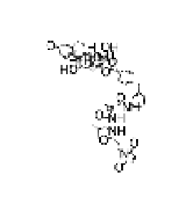 CC(C)C(NC(=O)CCN1C(=O)C=CC1=O)C(=O)N[C@@H](C)C(=O)Nc1cccc(Cc2ccc([C@@H]3O[C@@H]4C[C@H]5[C@@H]6CCC7=CC(=O)C=C[C@]7(C)[C@H]6[C@@H](O)C[C@]5(C)[C@]4(C(=O)CO)O3)cc2)c1